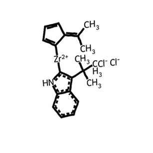 CC(C)=C1C=CC=[C]1[Zr+2][c]1[nH]c2ccccc2c1C(C)(C)C.[Cl-].[Cl-]